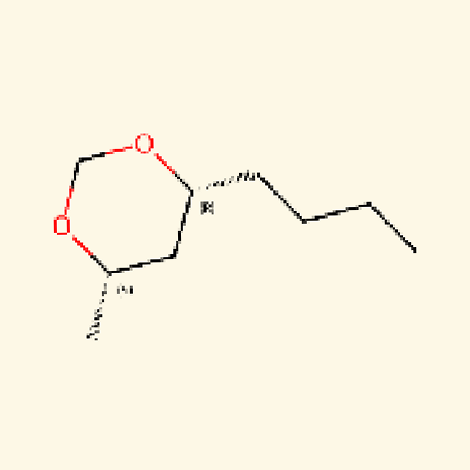 CCCC[C@@H]1C[C@H](C)OCO1